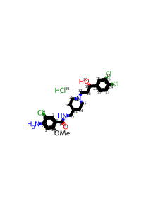 COc1cc(N)c(Cl)cc1C(=O)NCC1CCN(CCC(O)c2ccc(Cl)c(Cl)c2)CC1.Cl